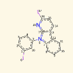 Ic1cccc(-n2c3ccccc3c3ccc(I)nc32)c1